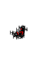 COc1cc(N2C[C@H]3CC[C@@H](C2)[C@@H]3Nc2nc3n(n2)CCCO[C@@H]3c2ccc(F)c(F)c2F)cnn1